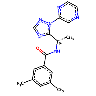 C[C@H](NC(=O)c1cc(C(F)(F)F)cc(C(F)(F)F)c1)c1ncnn1-c1cnccn1